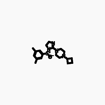 Cc1cc(C)cc([S+]([O-])N2CCN=C2N2CCN(C3CCC3)CC2)c1